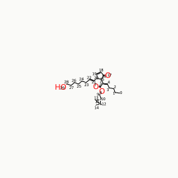 CCCCC=C(C(=O)OCC[Si](C)(C)C)C1C(=O)C=C[C@@H]1/C=C/CCCCCCO